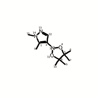 Cc1c(N2OC(C)(C)C(C)(C)O2)cnn1C